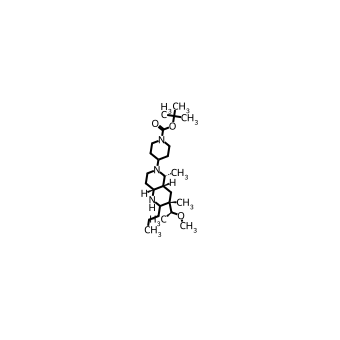 CCCC1N[C@@H]2CCN(C3CCN(C(=O)OC(C)(C)C)CC3)[C@H](C)[C@@H]2C[C@]1(C)[C@H](C)OC